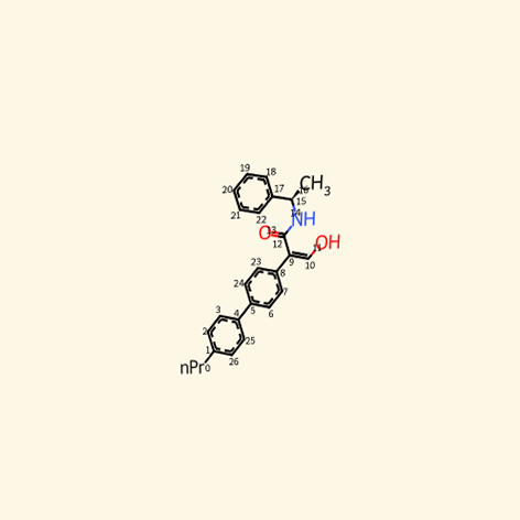 CCCc1ccc(-c2ccc(C(=CO)C(=O)N[C@H](C)c3ccccc3)cc2)cc1